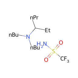 CCCCN(CCCC)C(CC)CCC.NS(=O)(=O)C(F)(F)F